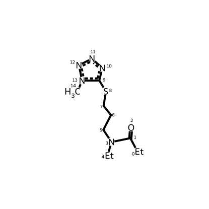 CCC(=O)N(CC)CCCSc1nnnn1C